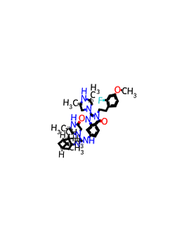 COc1ccc(CCn2c(N3C[C@@H](C)N[C@@H](C)C3)nc3cc(N/C(=N/C4C[C@H]5C[C@@H]([C@@H]4C)C5(C)C)N4CC(=O)N[C@@H](C)C4)ccc3c2=O)c(F)c1